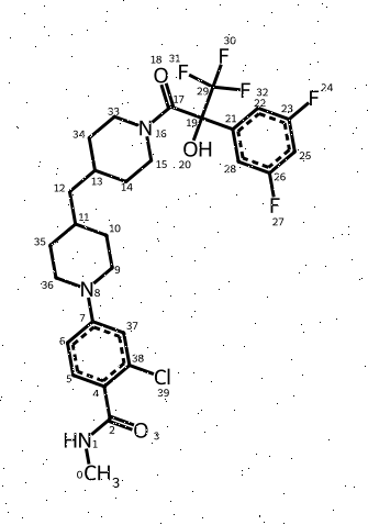 CNC(=O)c1ccc(N2CCC(CC3CCN(C(=O)C(O)(c4cc(F)cc(F)c4)C(F)(F)F)CC3)CC2)cc1Cl